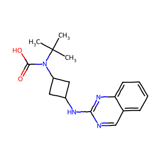 CC(C)(C)N(C(=O)O)C1CC(Nc2ncc3ccccc3n2)C1